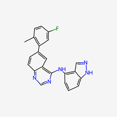 Cc1ccc(F)cc1-c1ccc2ncnc(Nc3cccc4[nH]ncc34)c2c1